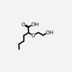 CCCCC(OCCO)C(=O)O